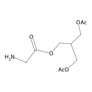 CC(=O)OCC(COC(C)=O)COC(=O)CN